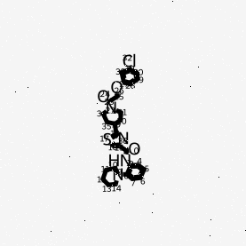 O=C(Nc1ccccc1N1CCCCC1)c1csc(C2CCN(C(=O)COc3cccc(Cl)c3)CC2)n1